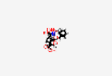 CON=C(C(=O)O)C1=CC[C@@H]2C(C(=O)O)=CO[C@@H](OCc3ccccc3)[C@H]12